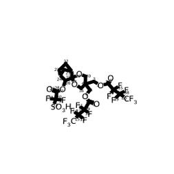 O=C(OCC1(COC(=O)C(F)(F)C(F)(F)C(F)(F)F)COC2(OC1)C1CCC(C1)C2OC(=O)C(F)(F)S(=O)(=O)O)C(F)(F)C(F)(F)C(F)(F)F